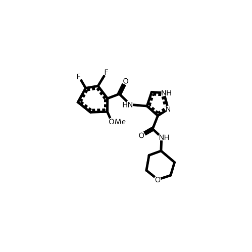 COc1ccc(F)c(F)c1C(=O)Nc1c[nH]nc1C(=O)NC1CCOCC1